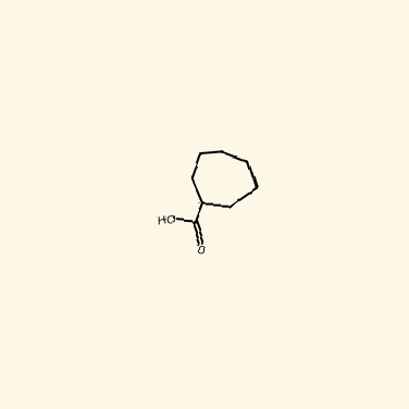 O=C(O)[C]1CCCCCC1